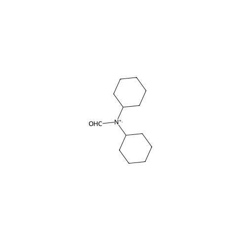 O=C[N+](C1CCCCC1)C1CCCCC1